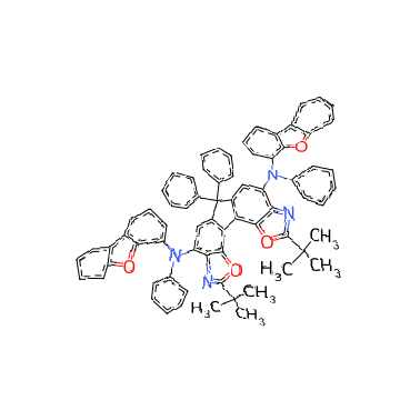 CC(C)(C)c1nc2c(N(c3ccccc3)c3cccc4c3oc3ccccc34)cc3c(c2o1)-c1c(cc(N(c2ccccc2)c2cccc4c2oc2ccccc24)c2nc(C(C)(C)C)oc12)C3(c1ccccc1)c1ccccc1